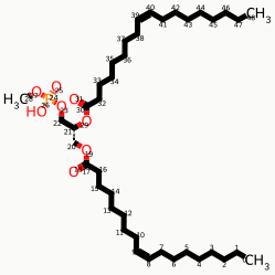 CCCCCCCC/C=C\CCCCCCCC(=O)OC[C@H](COP(=O)(O)OC)OC(=O)CCCCCCC/C=C\CCCCCCCC